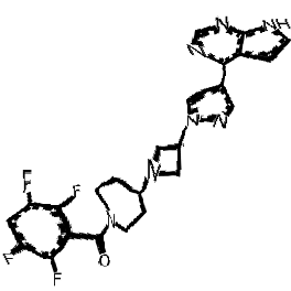 O=C(c1c(F)c(F)cc(F)c1F)N1CCC(N2C[C](n3cc(-c4ncnc5[nH]ccc45)cn3)C2)CC1